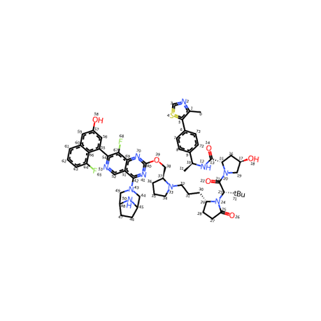 Cc1ncsc1-c1ccc([C@H](C)NC(=O)[C@@H]2C[C@@H](O)CN2C(=O)[C@@H](N2C(=O)CC[C@@H]2CCCN2CCC[C@H]2COc2nc(N3CC4CCC(C3)N4)c3cnc(-c4cc(O)cc5cccc(F)c45)c(F)c3n2)C(C)(C)C)cc1